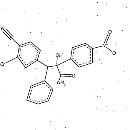 N#Cc1ccc(C(c2ccccc2)C(O)(C(N)=O)c2ccc([N+](=O)[O-])cc2)cc1Cl